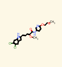 COCCOc1ccc(NC(=O)C(=CC=Cc2cc3cc(Cl)c(Cl)cc3[nH]2)OC)cn1